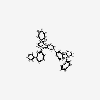 c1ccc(-c2cccc(-n3c4cc(-c5ccc6c(c5)c5ccccc5n6-c5ccccc5)ccc4c4c5oc6ccccc6c5ccc43)c2)cc1